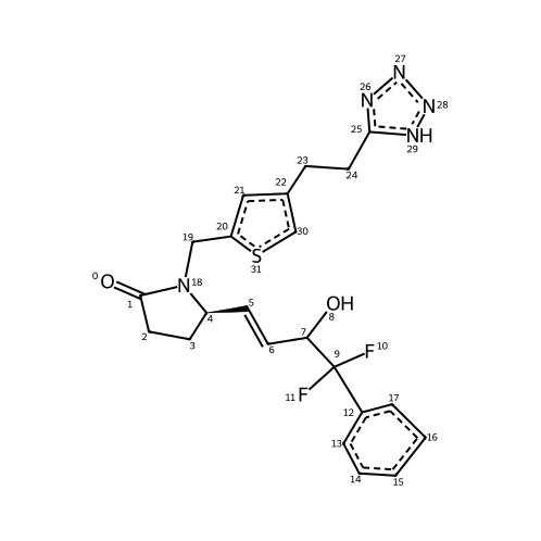 O=C1CC[C@H](/C=C/C(O)C(F)(F)c2ccccc2)N1Cc1cc(CCc2nnn[nH]2)cs1